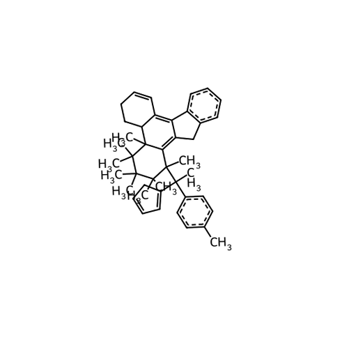 Cc1ccc(C(C)(C2=CC=CC2)C2(C)C3=C4Cc5ccccc5C4=C4C=CCCC4C3(C)C(C)(C)C(C)(C)C2(C)C)cc1